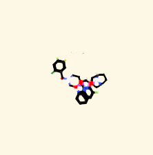 CNS(=O)(=O)c1cc(C(=O)N2CCC(CCN3[C@@H]4CC[C@H]3CC(n3c(C)nc5ccccc53)C4)(c3cccc(F)c3)CC2)c(Cl)cc1F